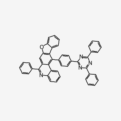 c1ccc(-c2nc(-c3ccccc3)nc(-c3ccc(-c4c5c(cc6c(-c7ccccc7)nc7ccccc7c46)oc4ccccc45)cc3)n2)cc1